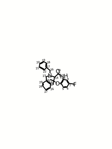 CC1(C)Oc2ccc(F)cc2NC(=O)C1N(Cc1ccccc1)Cc1ccccc1